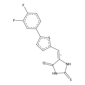 O=C1NC(=S)N/C1=C/c1ccc(-c2ccc(F)c(F)c2)s1